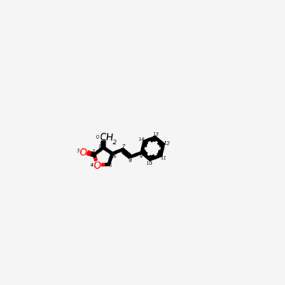 C=C1C(=O)OCC1C=Cc1ccccc1